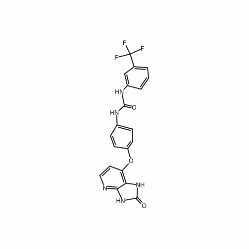 O=C(Nc1ccc(Oc2ccnc3[nH]c(=O)[nH]c23)cc1)Nc1cccc(C(F)(F)F)c1